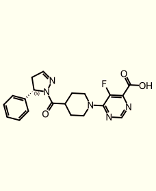 O=C(O)c1ncnc(N2CCC(C(=O)N3N=CC[C@H]3c3ccccc3)CC2)c1F